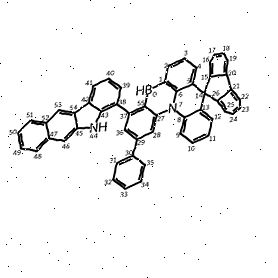 B1c2cccc3c2N(c2ccccc2C32c3ccccc3-c3ccccc32)c2cc(-c3ccccc3)cc(-c3cccc4c3[nH]c3cc5ccccc5cc34)c21